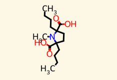 CCCCC1(C(=O)O)CCC(CCCC)(C(=O)O)N1C